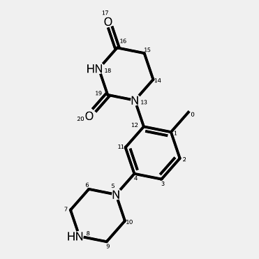 Cc1ccc(N2CCNCC2)cc1N1CCC(=O)NC1=O